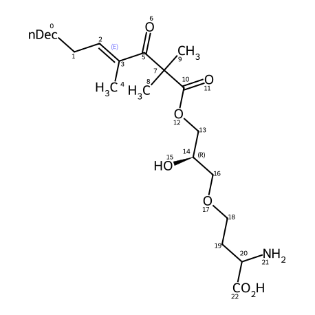 CCCCCCCCCCC/C=C(\C)C(=O)C(C)(C)C(=O)OC[C@H](O)COCCC(N)C(=O)O